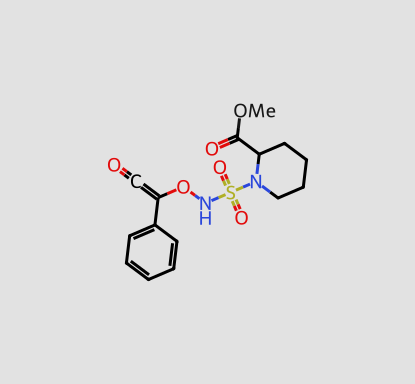 COC(=O)C1CCCCN1S(=O)(=O)NOC(=C=O)c1ccccc1